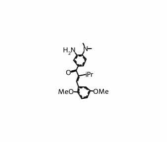 COc1ccc(OC)c(/C=C(/C(=O)c2ccc(N(C)C)c(N)c2)C(C)C)c1